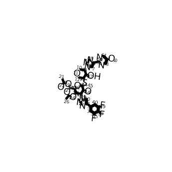 COc1cnc(-c2cn([C@H]3COC[C@@H](S[C@@H]4O[C@H](COC(C)=O)[C@H](OC(C)=O)[C@H](n5cc(-c6cc(F)c(F)c(F)c6)nn5)[C@H]4OC)[C@@H]3O)nn2)nc1